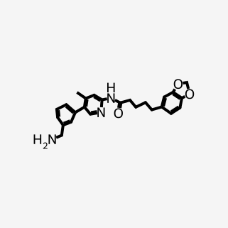 Cc1cc(NC(=O)CCCCc2ccc3c(c2)OCO3)ncc1-c1cccc(CN)c1